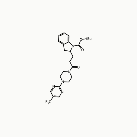 CC(C)(C)OC(=O)N1c2ccccc2CC1CCC(=O)N1CCN(c2ncc(C(F)(F)F)cn2)CC1